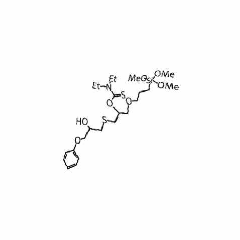 CCN(CC)C(=S)OC(COCCC[Si](OC)(OC)OC)CSCC(O)COc1ccccc1